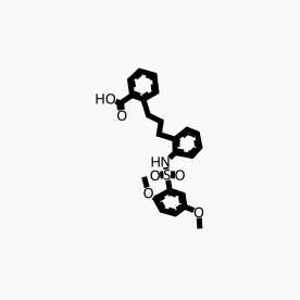 COc1ccc(OC)c(S(=O)(=O)Nc2ccccc2CCCc2ccccc2C(=O)O)c1